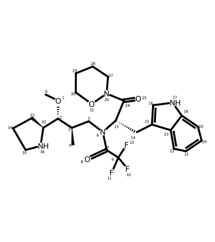 CO[C@H]([C@H](C)CN(C(=O)C(F)(F)F)[C@@H](Cc1c[nH]c2ccccc12)C(=O)N1CCCCO1)[C@@H]1CCCN1